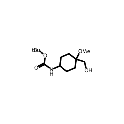 COC1(CO)CCC(NC(=O)OC(C)(C)C)CC1